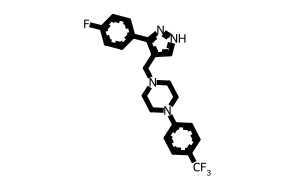 Fc1ccc(-c2n[nH]cc2CN2CCN(c3ccc(C(F)(F)F)cc3)CC2)cc1